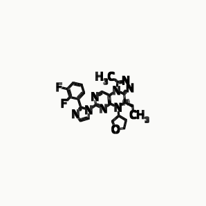 CC[C@@H]1c2nnc(C)n2-c2cnc(-n3ccnc3-c3cccc(F)c3F)nc2N1C1CCOC1